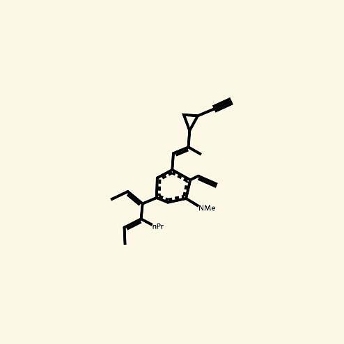 C#CC1CC1/C(C)=C/c1cc(C(=C/C)/C(=C/C)CCC)cc(NC)c1C=C